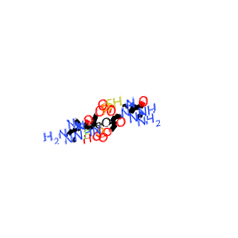 COC1C2COP(=O)(O)NC3C(CO[P@@](=O)(S)OC1C(n1cnc4c(=O)[nH]c(N)nc41)O2)OC(n1cnc2c(N)ncnc21)C3F